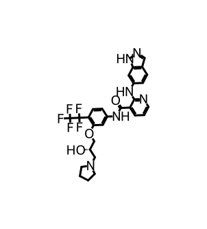 O=C(Nc1ccc(C(F)(F)C(F)(F)F)c(OC[C@@H](O)CN2CCCC2)c1)c1cccnc1Nc1ccc2cn[nH]c2c1